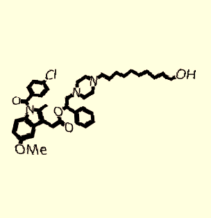 COc1ccc2c(c1)c(CC(=O)OC(CN1CCN(CCCCCCCCCCO)CC1)c1ccccc1)c(C)n2C(=O)c1ccc(Cl)cc1